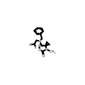 CN(C(=O)OC(C)(C)C)C1(CN(Cc2ccccc2)CC(F)F)CC1